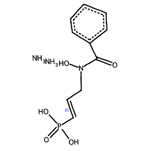 N.N.O=C(c1ccccc1)N(O)C/C=C/P(=O)(O)O